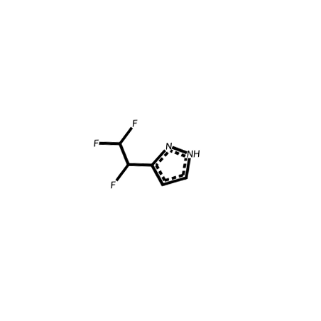 FC(F)C(F)c1cc[nH]n1